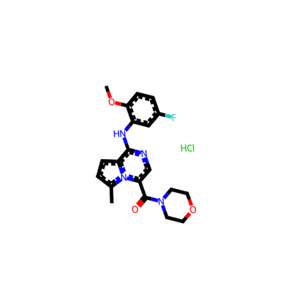 COc1ccc(F)cc1Nc1ncc(C(=O)N2CCOCC2)n2c(C)ccc12.Cl